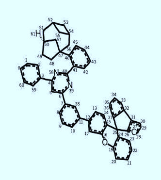 c1ccc(-c2cc(-c3cccc(-c4ccc5c(c4)Oc4ccccc4C54c5ccccc5-c5ccccc54)c3)nc(-c3ccccc3C34CC[C@@H](CC5CC(C5)C3)C4)n2)cc1